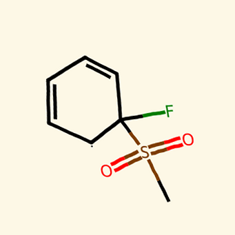 CS(=O)(=O)C1(F)[CH]C=CC=C1